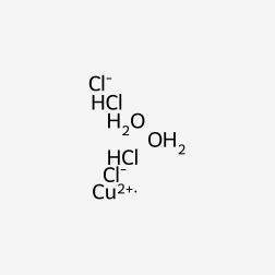 Cl.Cl.O.O.[Cl-].[Cl-].[Cu+2]